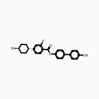 CC[C@H]1CC[C@H](c2ccc(C(=O)Oc3ccc(-c4ccc(C#N)cc4)cc3)c(F)c2)CC1